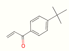 C=CC(=O)c1ccc(C(C)(C)C)cc1